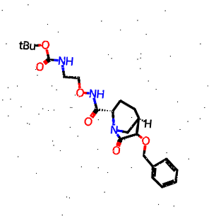 CC(C)(C)OC(=O)NCCONC(=O)[C@@H]1CC[C@@H]2CN1C(=O)C2OCc1ccccc1